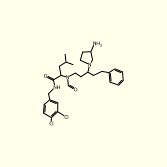 CC(C)CC(C(=O)NCc1ccc(Cl)c(Cl)c1)N(C=O)CCC(CCc1ccccc1)N1CCC(N)C1